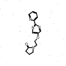 O=C1CCCN1CCOc1cnc(-c2ccccn2)nc1